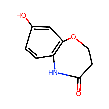 O=C1CCOc2cc(O)ccc2N1